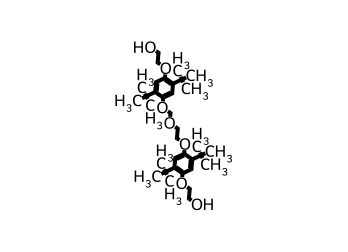 CC(C)(C)c1cc(OCCOCOc2cc(C(C)(C)C)c(OCCO)cc2C(C)(C)C)c(C(C)(C)C)cc1OCCO